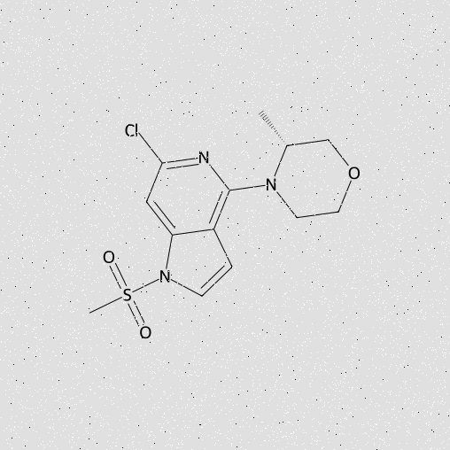 C[C@@H]1COCCN1c1nc(Cl)cc2c1ccn2S(C)(=O)=O